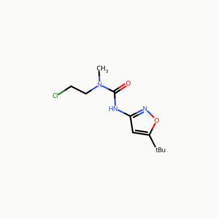 CN(CCCl)C(=O)Nc1cc(C(C)(C)C)on1